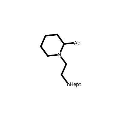 CCCCCCCCCN1CCCCC1C(C)=O